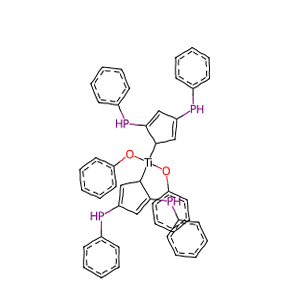 C1=C(Pc2ccccc2)C=C(Pc2ccccc2)[CH]1[Ti]([O]c1ccccc1)([O]c1ccccc1)[CH]1C=C(Pc2ccccc2)C=C1Pc1ccccc1